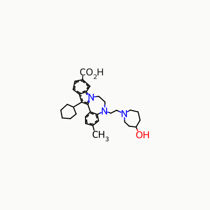 Cc1ccc2c(c1)N(CCN1CCCC(O)CC1)CCn1c-2c(C2CCCCC2)c2ccc(C(=O)O)cc21